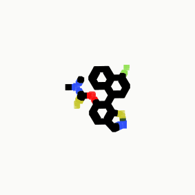 CN(C)C(=S)Oc1ccc2cnsc2c1-c1ccc(F)c2ccccc12